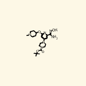 CN1CCC(Oc2cc(N3CCN(C(=O)OC(C)(C)C)CC3)cc(/C(N)=N/O)n2)CC1